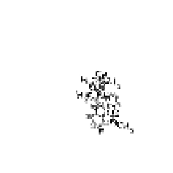 COC(=O)c1c(-c2ccccc2)c(C(C)NC(=O)OC(C)(C)C)nc2ccc(F)cc12